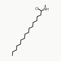 CCCCCCCCCCCCCCCC(Cl)NC